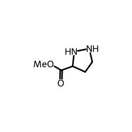 COC(=O)C1CCNN1